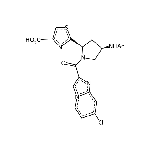 CC(=O)N[C@@H]1C[C@H](c2nc(C(=O)O)cs2)N(C(=O)c2cn3ccc(Cl)cc3n2)C1